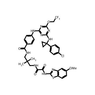 COc1ccc2sc(NC(=O)C(=O)NCC(C)(C)CNC(=O)c3ccc(Nc4nc(NC5(c6ccc(Cl)cc6)CC5)nc(OCC(F)(F)F)n4)cc3)nc2c1